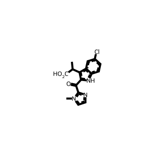 CC(C(=O)O)c1c(C(=O)c2nccn2C)[nH]c2ccc(Cl)cc12